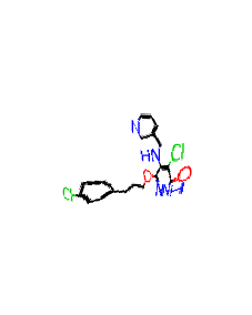 O=c1[nH]nc(OCCCc2ccc(Cl)cc2)c(NCc2cccnc2)c1Cl